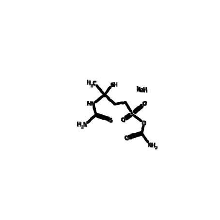 CC(S)(CCS(=O)(=O)OC(N)=O)NC(N)=S.[NaH]